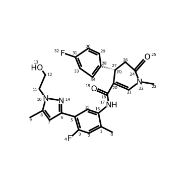 Cc1cc(F)c(-c2cc(C)n(CCO)n2)cc1NC(=O)C1=CN(C)C(=O)C[C@H]1c1ccc(F)cc1